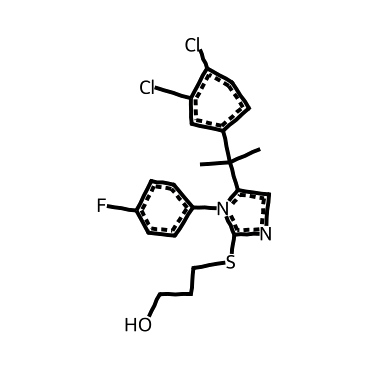 CC(C)(c1ccc(Cl)c(Cl)c1)c1cnc(SCCCO)n1-c1ccc(F)cc1